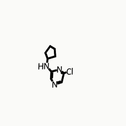 Clc1cncc(NC2CCCC2)n1